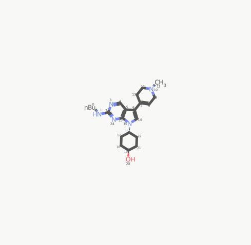 CCCCNc1ncc2c(C3=CCN(C)CC3)cn([C@H]3CC[C@H](O)CC3)c2n1